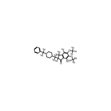 [2H]c1c(OC([2H])([2H])[2H])c(OC([2H])([2H])[2H])c([2H])c2c1C(=O)C([2H])(C([2H])([2H])C1CCN(C([2H])([2H])c3ccccc3)CC1)C2([2H])[2H]